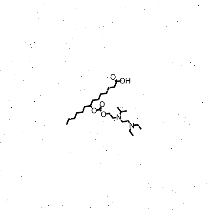 CCCCCCC(CCCCCCC(=O)O)OC(=O)OCCN(CCN(CC)CC)C(C)C